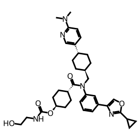 CN(C)c1ccc([C@H]2CC[C@H](CN(c3cccc(-c4coc(C5CC5)n4)c3)C(=O)[C@H]3CC[C@H](OC(=O)NCCO)CC3)CC2)cn1